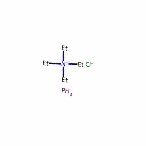 CC[N+](CC)(CC)CC.P.[Cl-]